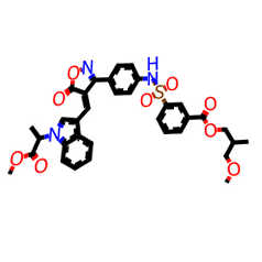 COCC(C)COC(=O)c1cccc(S(=O)(=O)Nc2ccc(C3=NOC(=O)/C3=C\c3cn(C(C)C(=O)OC)c4ccccc34)cc2)c1